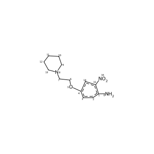 Nc1ccc(OCCN2CCCCC2)cc1[N+](=O)[O-]